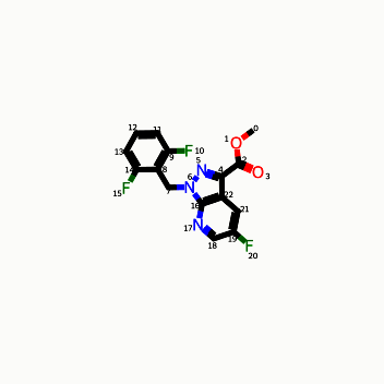 COC(=O)c1nn(Cc2c(F)cccc2F)c2ncc(F)cc12